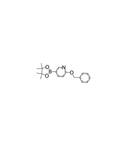 CC1(C)OB(c2ccc(OCc3ccccc3)nc2)OC1(C)C